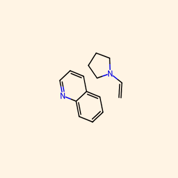 C=CN1CCCC1.c1ccc2ncccc2c1